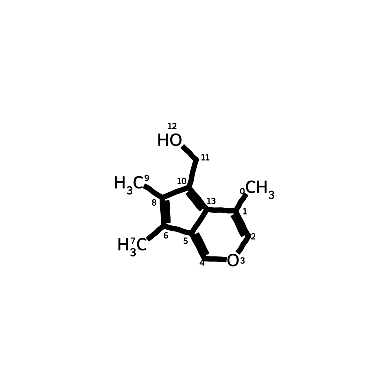 Cc1cocc2c(C)c(C)c(CO)c1-2